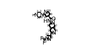 CN1CCN(c2cc(C(=O)Nc3cc4cc(-c5cnn(C(F)F)c5)ncc4cn3)ccn2)CC1